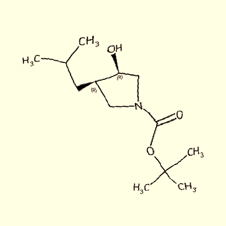 CC(C)C[C@@H]1CN(C(=O)OC(C)(C)C)C[C@@H]1O